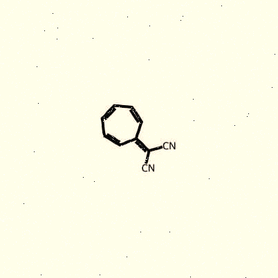 N#CC(C#N)=C1C=CC=CC=C1